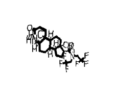 C[C@]12C=CC(=O)N[C@@H]1CC[C@@H]1[C@@H]2CC[C@]2(C)[C@@H](C(=O)N(CC(F)(F)F)CC(F)(F)F)CC[C@@H]12